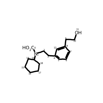 O=C(O)N(CCc1cccc(CCO)c1)C1CCCCC1